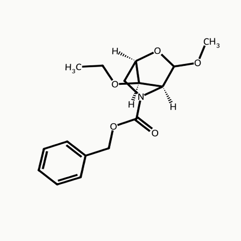 CCO[C@@H]1[C@H]2C(OC)O[C@@H]1CN2C(=O)OCc1ccccc1